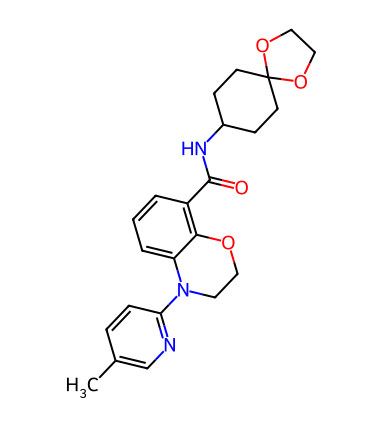 Cc1ccc(N2CCOc3c(C(=O)NC4CCC5(CC4)OCCO5)cccc32)nc1